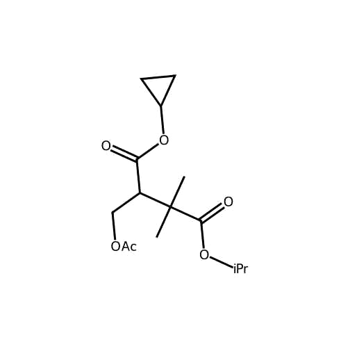 CC(=O)OCC(C(=O)OC1CC1)C(C)(C)C(=O)OC(C)C